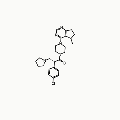 C[C@@H]1CCc2ncnc(N3CCN(C(=O)[C@@H](CN4CCCC4)c4ccc(Cl)cc4)CC3)c21